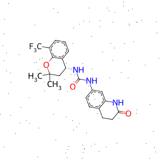 CC1(C)C[C@@H](NC(=O)Nc2ccc3c(c2)NC(=O)CC3)c2cccc(C(F)(F)F)c2O1